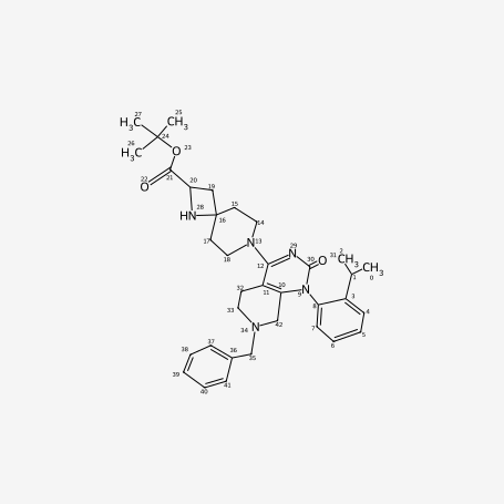 CC(C)c1ccccc1-n1c2c(c(N3CCC4(CC3)CC(C(=O)OC(C)(C)C)N4)nc1=O)CCN(Cc1ccccc1)C2